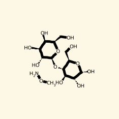 CON.OC[C@H]1O[C@@H](O[C@H]2[C@H](O)[C@@H](O)[C@@H](O)O[C@@H]2CO)[C@H](O)[C@@H](O)[C@H]1O